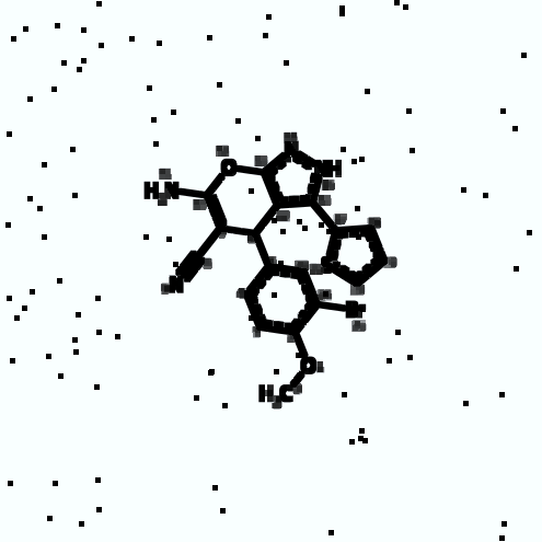 COc1ccc(C2C(C#N)=C(N)Oc3n[nH]c(-c4cccs4)c32)cc1Br